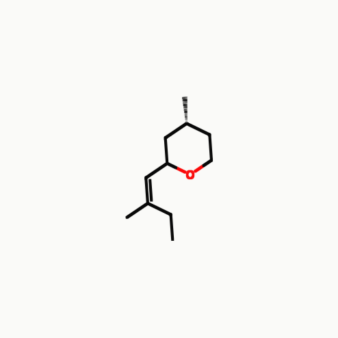 CC/C(C)=C\C1C[C@H](C)CCO1